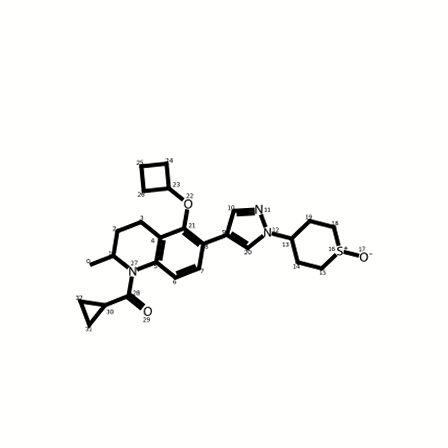 CC1CCc2c(ccc(-c3cnn(C4CC[S+]([O-])CC4)c3)c2OC2CCC2)N1C(=O)C1CC1